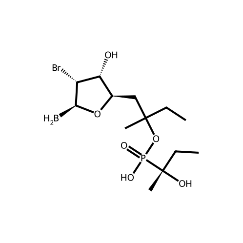 B[C@@H]1O[C@H](CC(C)(CC)OP(=O)(O)[C@@](C)(O)CC)[C@@H](O)[C@H]1Br